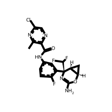 Cc1nc(Cl)cnc1C(=O)Nc1ccc(F)c([C@@]2(C(F)F)N=C(N)O[C@@H]3C[C@@H]32)c1